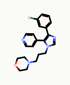 Clc1cccc(-c2ncn(CCCN3CCOCC3)c2-c2ccncc2)c1